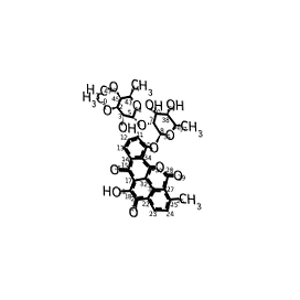 CO[C@@H]1[C@@H](O)[C@@H](O[C@H]2[C@H](Oc3cccc4c(=O)c5c(O)c(=O)c6ccc(C)c7c(=O)oc(c-5c67)c34)O[C@H](C)[C@H](O)[C@@H]2O)O[C@H](C)[C@@H]1OC